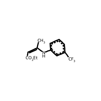 CCOC(=O)/C=C(/C)Nc1cccc(C(F)(F)F)c1